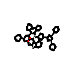 c1ccc(-c2cc(-c3ccccc3)cc(-c3ccc(N(c4c(-c5cccc(-c6ccccc6)c5)c5ccccc5c5ccccc45)c4cccc5sc6ccccc6c45)cc3)c2)cc1